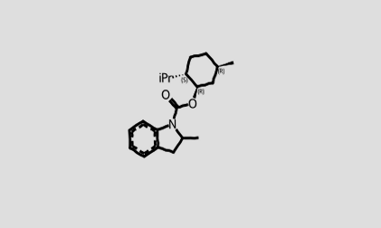 CC(C)[C@@H]1CC[C@@H](C)C[C@H]1OC(=O)N1c2ccccc2CC1C